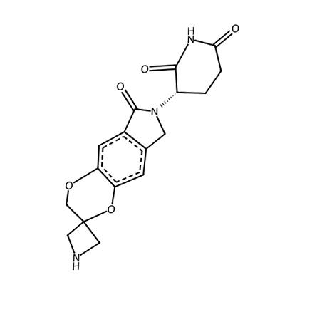 O=C1CC[C@H](N2Cc3cc4c(cc3C2=O)OCC2(CNC2)O4)C(=O)N1